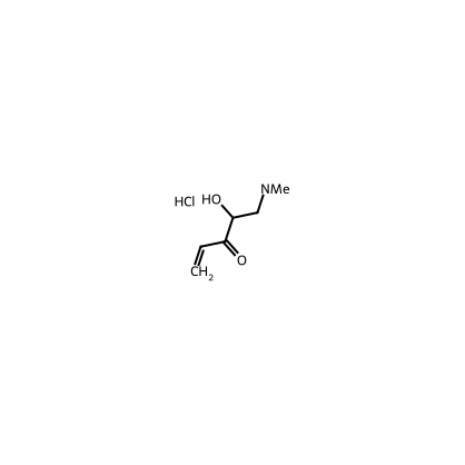 C=CC(=O)C(O)CNC.Cl